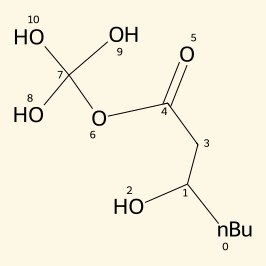 CCCCC(O)CC(=O)OC(O)(O)O